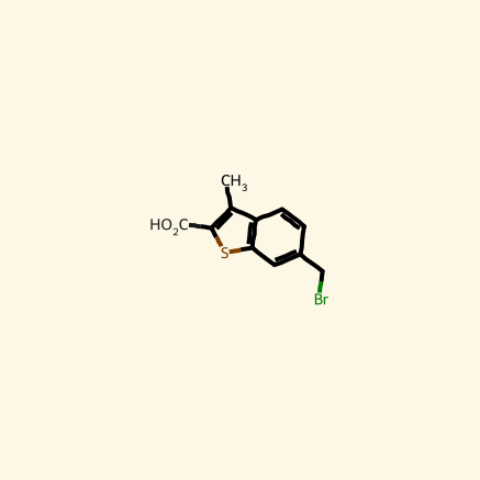 Cc1c(C(=O)O)sc2cc(CBr)ccc12